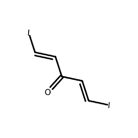 O=C(C=CI)C=CI